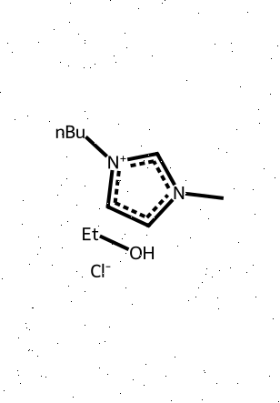 CCCC[n+]1ccn(C)c1.CCO.[Cl-]